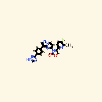 Cc1nc(C2COC(=O)N2c2ccn3ncc(-c4ccc(-c5nc[nH]n5)cc4)c3n2)ccc1F